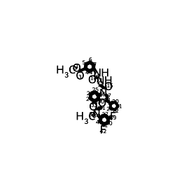 COC(=O)c1cccc(NC(=O)NCC(=O)N(CCC2CCCC2)c2ccccc2OCC(=O)N(C)c2cc(F)cc(F)c2)c1